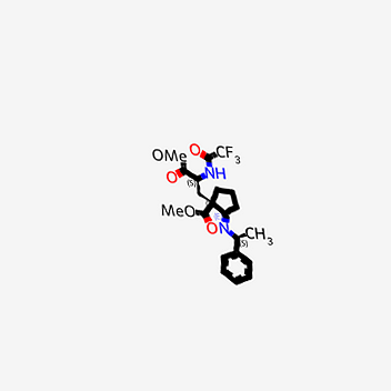 COC(=O)[C@H](C[C@@]1(C(=O)OC)CCC/C1=N\[C@@H](C)c1ccccc1)NC(=O)C(F)(F)F